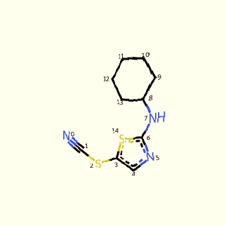 N#CSc1cnc(NC2CCCCC2)s1